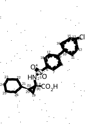 O=C(O)[C@@]1(NS(=O)(=O)c2ccc(-c3ccc(Cl)cc3)cc2)C[C@H]1C1CCCCC1